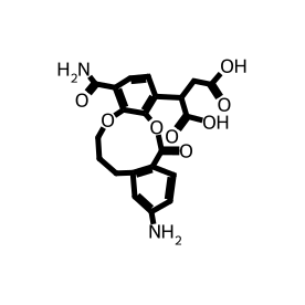 NC(=O)c1ccc(C(CC(=O)O)C(=O)O)c2c1OCCCc1cc(N)ccc1C(=O)O2